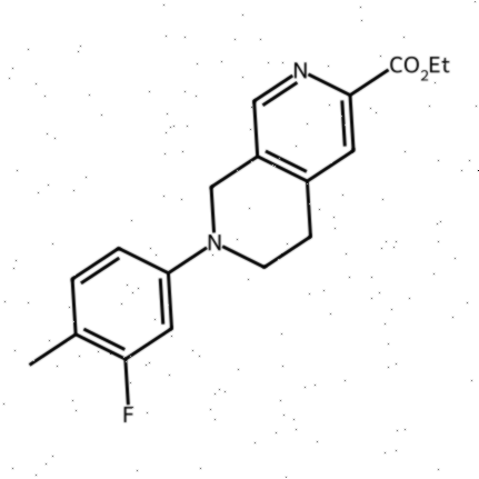 CCOC(=O)c1cc2c(cn1)CN(c1ccc(C)c(F)c1)CC2